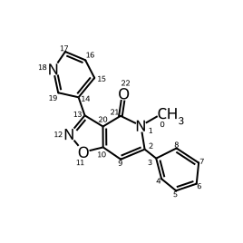 Cn1c(-c2ccccc2)cc2onc(-c3cccnc3)c2c1=O